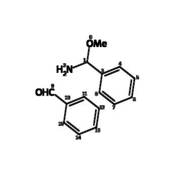 COC(N)c1ccccc1.O=Cc1ccccc1